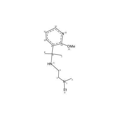 CCN(C)CCNC(C)(C)c1cccnc1OC